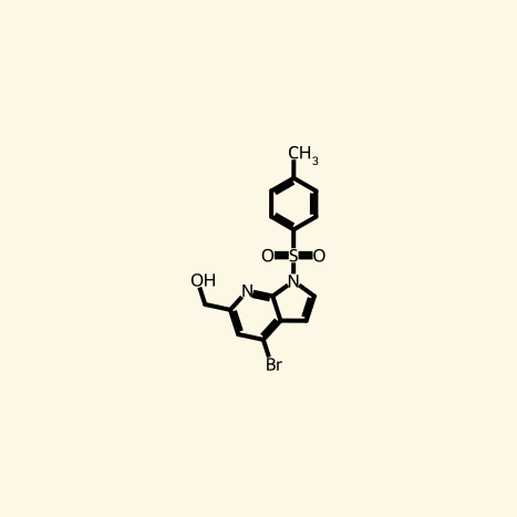 Cc1ccc(S(=O)(=O)n2ccc3c(Br)cc(CO)nc32)cc1